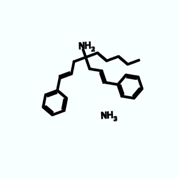 CCCCCC(N)(CC=Cc1ccccc1)CC=Cc1ccccc1.N